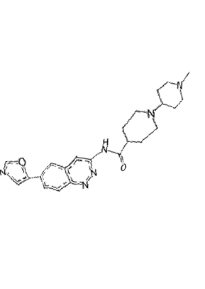 CN1CCC(N2CCC(C(=O)Nc3cc4cc(-c5cnco5)ccc4nn3)CC2)CC1